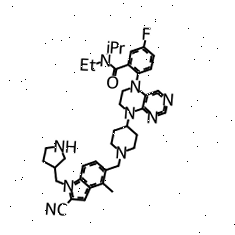 CCN(C(=O)c1cc(F)ccc1N1CCN(C2CCN(Cc3ccc4c(cc(C#N)n4CC4CCNC4)c3C)CC2)c2ncncc21)C(C)C